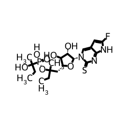 CCC(C)(C[C@H]1O[C@@H](n2cc3cc(F)[nH]c3nc2=S)[C@@H](O)C1O)OP(=O)(O)C(C)(O)CC